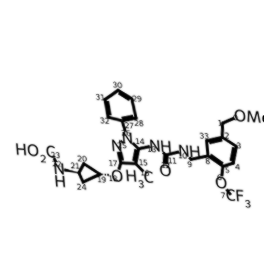 COCc1ccc(OC(F)(F)F)c(CNC(=O)Nc2c(C)c(O[C@H]3C[C@H](NC(=O)O)C3)nn2-c2ccccc2)c1